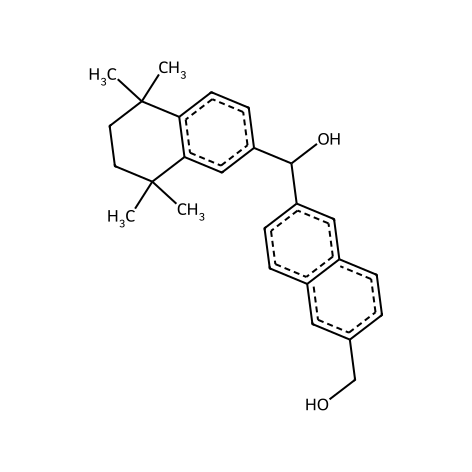 CC1(C)CCC(C)(C)c2cc(C(O)c3ccc4cc(CO)ccc4c3)ccc21